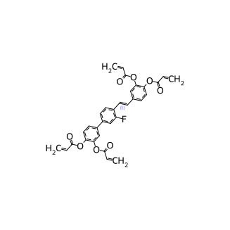 C=CC(=O)Oc1ccc(/C=C/c2ccc(-c3ccc(OC(=O)C=C)c(OC(=O)C=C)c3)cc2F)cc1OC(=O)C=C